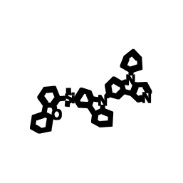 C[Si](C)(c1ccc2c(c1)c1ccccc1n2-c1ccc2c(c1)c1cnccc1n2-c1ccccc1)c1cccc2c1oc1ccccc12